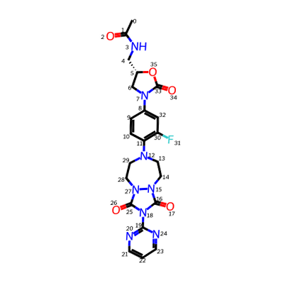 CC(=O)NC[C@H]1CN(c2ccc(N3CCn4c(=O)n(-c5ncccn5)c(=O)n4CC3)c(F)c2)C(=O)O1